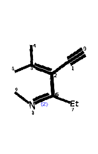 C#CC(=C(C)C)/C(CC)=N\C